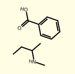 CCC(C)NC.O=C(O)c1ccccc1